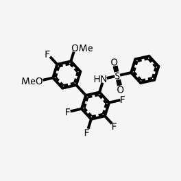 COc1cc(-c2c(F)c(F)c(F)c(F)c2NS(=O)(=O)c2ccccc2)cc(OC)c1F